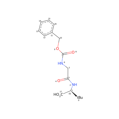 CC(C)(C)[C@H](NC(=O)CNC(=O)OCc1ccccc1)C(=O)O